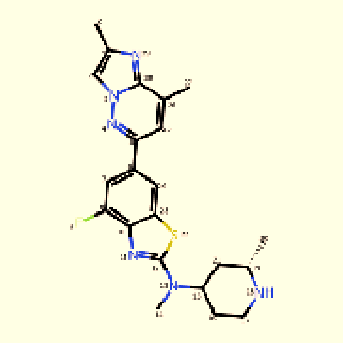 Cc1cn2nc(-c3cc(F)c4nc(N(C)C5CCN[C@@H](C)C5)sc4c3)cc(C)c2n1